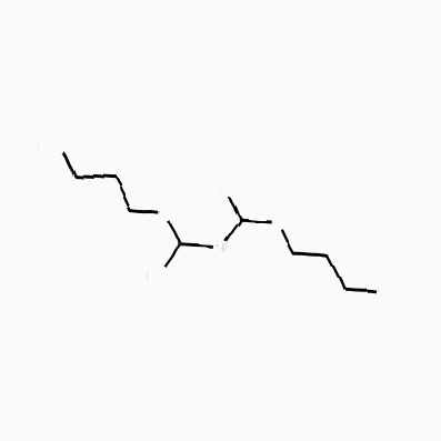 CCCCOC(C)NC(C)OCCCC